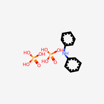 O=P(O)(O)O.O=P(O)(O)O.c1ccc(Nc2ccccc2)cc1